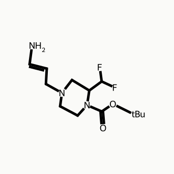 CC(C)(C)OC(=O)N1CCN(CC=CN)CC1C(F)F